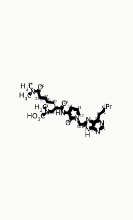 CC(C)CCc1ncnc2[nH]c(Cn3cccc(NC(=O)[C@@H](CC/C=C/C(=O)N(C)C)CN(C)C(=O)O)c3=O)nc12